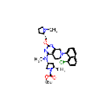 C[C@H]1C[C@H](N(C)c2nc(OC[C@@H]3CCCN3C)nc3c2CCN(c2cccc4cccc(Cl)c24)C3)CN1C(=O)OC(C)(C)C